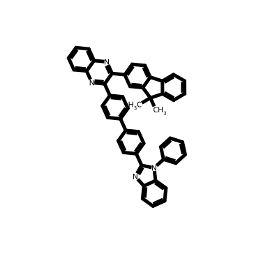 CC1(C)c2ccccc2-c2ccc(-c3nc4ccccc4nc3-c3ccc(-c4ccc(-c5nc6ccccc6n5-c5ccccc5)cc4)cc3)cc21